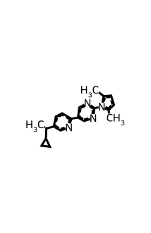 Cc1ccc(C)n1-c1ncc(-c2ccc([C@@H](C)C3CC3)cn2)cn1